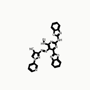 CCNc1nc(Nc2nc3ccccc3o2)nc(-c2nc3ccccc3o2)c1N=Nc1nn(-c2cccnc2)cc1C#N